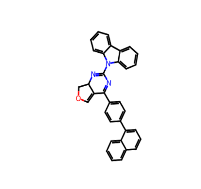 C1=C2C(c3ccc(-c4cccc5ccccc45)cc3)=NC(n3c4ccccc4c4ccccc43)=NC2CO1